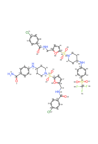 NC(=O)c1ccc(NC2CCN(S(=O)(=O)c3ccc(CNC(=O)c4ccc(Cl)cc4)o3)CC2)cc1.O=C(NCc1ccc(S(=O)(=O)N2CCC(Nc3ccc(S(=O)(=O)C(F)(F)F)cc3)CC2)o1)c1ccc(Cl)cc1